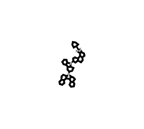 c1ccc(-c2nc3c(ccc4ccc5cc(-n6c7ccccc7c7cc(-n8c9ccc%10ccccc%10c9c9c%10ccccc%10ccc98)ccc76)ccc5c43)s2)cc1